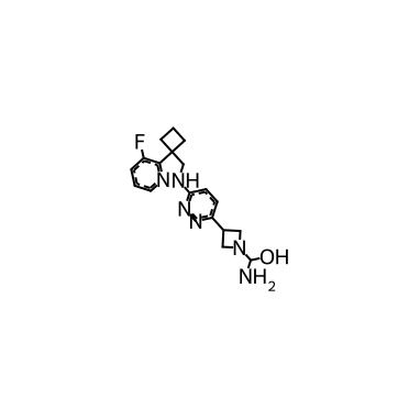 NC(O)N1CC(c2ccc(NCC3(c4ncccc4F)CCC3)nn2)C1